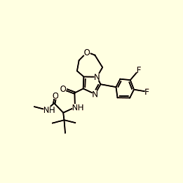 CNC(=O)C(NC(=O)c1nc(-c2ccc(F)c(F)c2)n2c1CCOCC2)C(C)(C)C